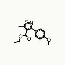 CCOC(=O)c1c(-c2ccc(OC)cc2)nsc1C